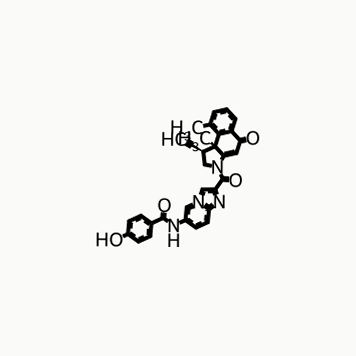 C#C[C@@H]1CN(C(=O)c2cn3cc(NC(=O)c4ccc(O)cc4)ccc3n2)C2=CC(=O)c3cccc(C)c3[C@]21C